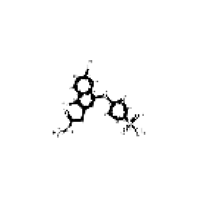 COC(=O)Cc1cc(Oc2ccc(S(C)(=O)=O)cn2)c2cc(F)ccc2c1F